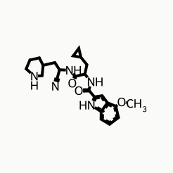 COc1cccc2[nH]c(C(=O)NC(CC3CC3)C(=O)NC(C#N)CC3CCCNC3)cc12